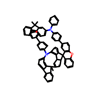 CC1(C)c2ccccc2-c2ccc(N(c3ccccc3)c3ccc(-c4ccc5c(c4)C4(c6ccccc6O5)c5cccc6c5C5C=C(C=CC54)C4(C)c5ccccc5-c5ccc(cc54)N6c4ccc(-c5ccccc5)cc4)cc3)cc21